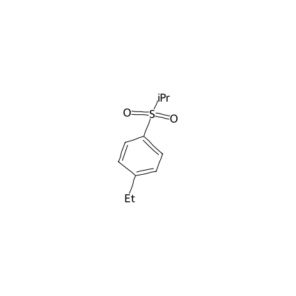 CCc1ccc(S(=O)(=O)C(C)C)cc1